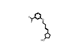 OC1CCC(/C=C/CCOc2cccc(C(F)F)c2)C1